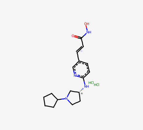 Cl.Cl.O=C(/C=C/c1ccc(N[C@@H]2CCN(C3CCCC3)C2)nc1)NO